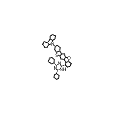 c1ccc(C2=NC(c3ccccc3)NC(c3cccc4oc5cc6c(cc5c34)sc3cc(-n4c5ccccc5c5ccccc54)ccc36)=N2)cc1